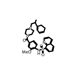 COc1cc(C(=O)N2CCN(CC(C)C3=CC=CCC3)CC2)ccc1NS(=O)(=O)c1cccc2cccnc12